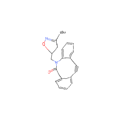 CC(C)(C)C1=NOC(CN2C(=O)c3ccccc3C#Cc3ccccc32)C1